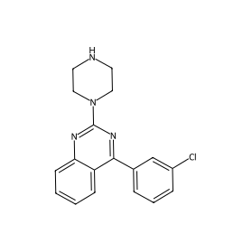 Clc1cccc(-c2nc(N3CCNCC3)nc3ccccc23)c1